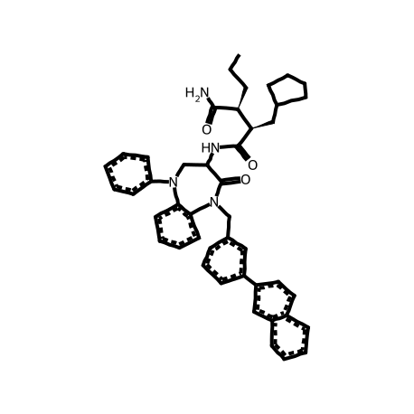 CCC[C@H](C(N)=O)[C@@H](CC1CCCC1)C(=O)NC1CN(c2ccccc2)c2ccccc2N(Cc2cccc(-c3ccc4ccccc4c3)c2)C1=O